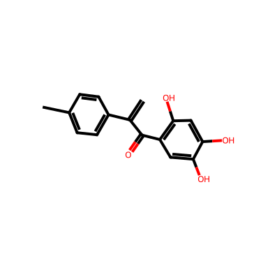 C=C(C(=O)c1cc(O)c(O)cc1O)c1ccc(C)cc1